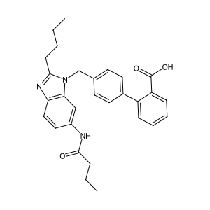 CCCCc1nc2ccc(NC(=O)CCC)cc2n1Cc1ccc(-c2ccccc2C(=O)O)cc1